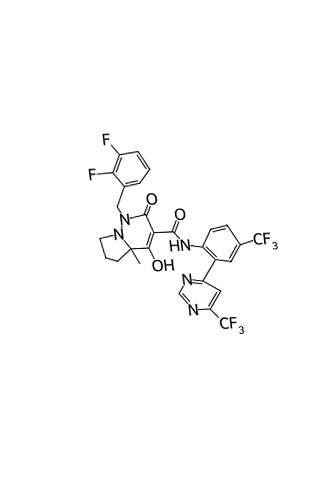 CC12CCCN1N(Cc1cccc(F)c1F)C(=O)C(C(=O)Nc1ccc(C(F)(F)F)cc1-c1cc(C(F)(F)F)ncn1)=C2O